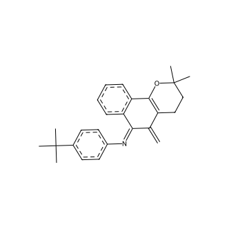 C=C1C2=C(OC(C)(C)CC2)c2ccccc2/C1=N\c1ccc(C(C)(C)C)cc1